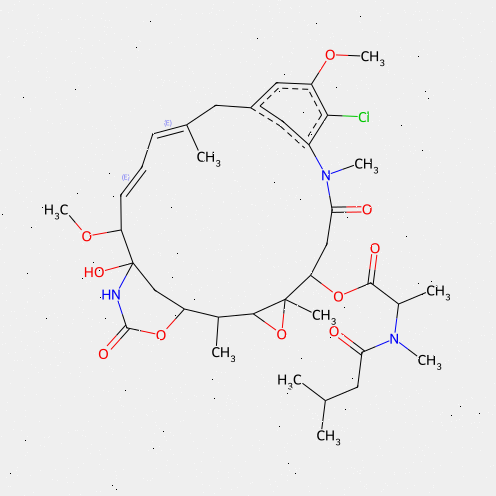 COc1cc2cc(c1Cl)N(C)C(=O)CC(OC(=O)C(C)N(C)C(=O)CC(C)C)C1(C)OC1C(C)C1CC(O)(NC(=O)O1)C(OC)/C=C/C=C(\C)C2